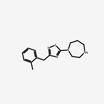 Cc1ccccc1Cc1nsc(N2CCCNCC2)n1